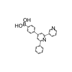 OB(O)c1ccc(-c2cc(-c3ccccc3)nc(-c3cccnc3)c2)cc1